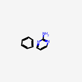 Nc1ncccn1.c1ccccc1